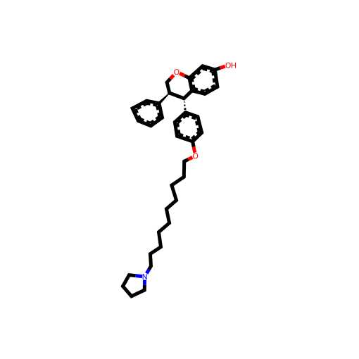 Oc1ccc2c(c1)OC[C@H](c1ccccc1)[C@H]2c1ccc(OCCCCCCCCCCN2CCCC2)cc1